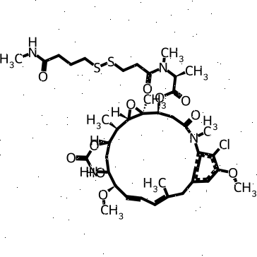 CNC(=O)CCCSSCCC(=O)N(C)[C@@H](C)C(=O)O[C@H]1CC(=O)N(C)c2cc(cc(OC)c2Cl)C/C(C)=C/C=C/[C@@H](OC)[C@@]2(O)C[C@H](OC(=O)N2)[C@@H](C)[C@@H]2O[C@@]12C